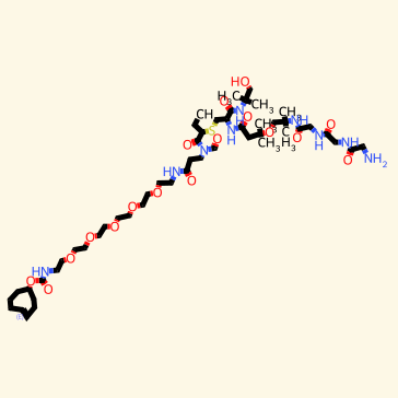 CCC(SCC(NC(=O)CC(C)(C)OCC(C)(C)NC(=O)CNC(=O)CNC(=O)CN)C(=O)NC(C)(C)CO)C(=O)N(C=O)CCC(=O)NCCOCCOCCOCCOCCOCCNC(=O)OC1CC/C=C/CCC1